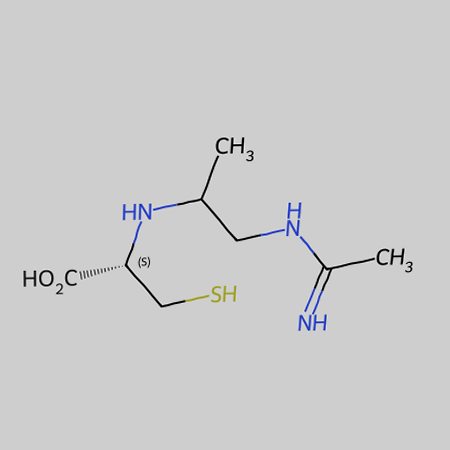 CC(=N)NCC(C)N[C@H](CS)C(=O)O